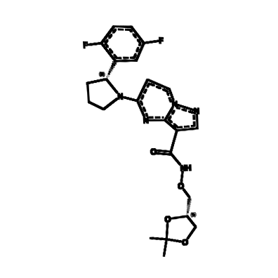 CC1(C)OC[C@@H](CONC(=O)c2cnn3ccc(N4CCC[C@@H]4c4cc(F)ccc4F)nc23)O1